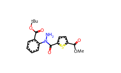 COC(=O)c1ccc(C(=O)N(N)c2ccccc2C(=O)OC(C)(C)C)s1